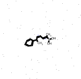 C/C(=C\C=C/C(C)c1ccccc1)B(O)O